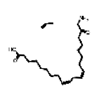 C=CC.NCC(=O)CCCCC/C=C\C/C=C\CCCCCCCC(=O)O